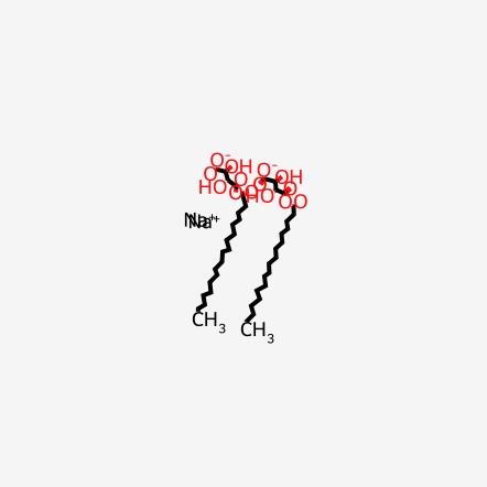 CCCCCCCCCCCCCCCCCC(=O)OC(=O)C(O)C(O)C(=O)[O-].CCCCCCCCCCCCCCCCCC(=O)OC(=O)C(O)C(O)C(=O)[O-].[Na+].[Na+]